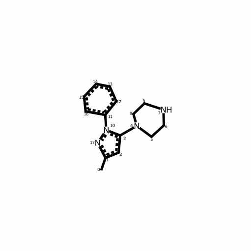 Cc1cc(N2CCNCC2)n(-c2ccccc2)n1